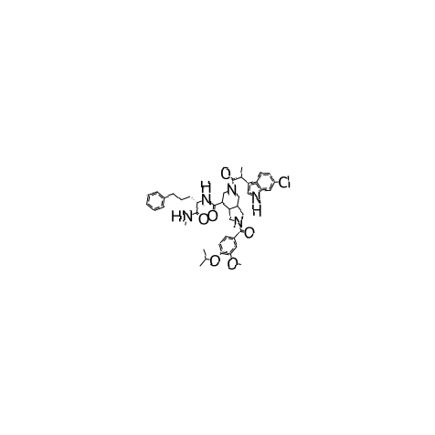 CNC(=O)[C@H](CCCc1ccccc1)NC(=O)C1CN(C(=O)C(C)c2c[nH]c3cc(Cl)ccc23)CC2CN(C(=O)c3ccc(OC(C)C)c(OC)c3)CC21